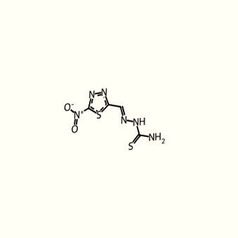 NC(=S)NN=Cc1nnc([N+](=O)[O-])s1